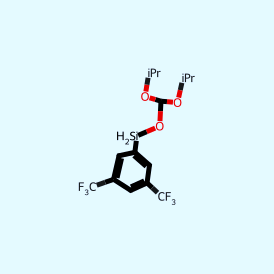 CC(C)OC(O[SiH2]c1cc(C(F)(F)F)cc(C(F)(F)F)c1)OC(C)C